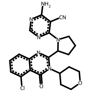 N#Cc1c(N)ncnc1N1CCCC1c1nc2cccc(Cl)c2c(=O)n1C1CCOCC1